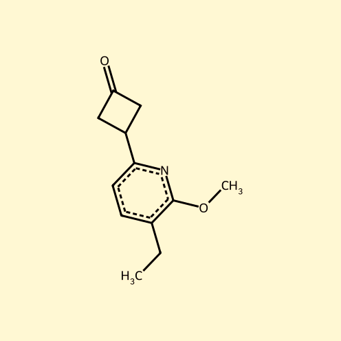 CCc1ccc(C2CC(=O)C2)nc1OC